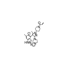 C=CC(=O)N1CCC(n2nc(N3CCn4ccnc4C3)c(-c3c(Cl)c(C)cc4[nH]ncc34)c2C)CC1